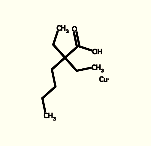 CCCCC(CC)(CC)C(=O)O.[Cu]